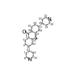 O=c1c2ccc(-c3ccncc3)cc2sc2cc(-c3ccncc3)ccc12